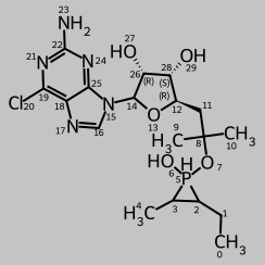 CCC1C(C)[PH]1(O)OC(C)(C)C[C@H]1OC(n2cnc3c(Cl)nc(N)nc32)[C@H](O)[C@@H]1O